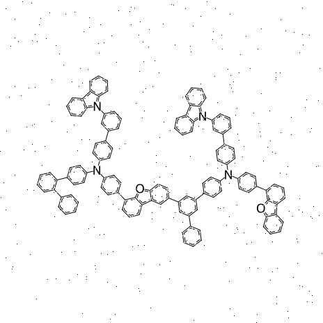 c1ccc(-c2cc(-c3ccc(N(c4ccc(-c5cccc(-n6c7ccccc7c7ccccc76)c5)cc4)c4ccc(-c5cccc6c5oc5ccccc56)cc4)cc3)cc(-c3ccc4oc5c(-c6ccc(N(c7ccc(-c8cccc(-n9c%10ccccc%10c%10ccccc%109)c8)cc7)c7ccc(-c8ccccc8-c8ccccc8)cc7)cc6)cccc5c4c3)c2)cc1